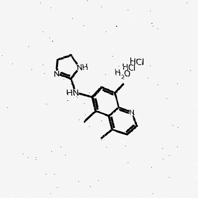 Cc1cc(NC2=NCCN2)c(C)c2c(C)ccnc12.Cl.Cl.O